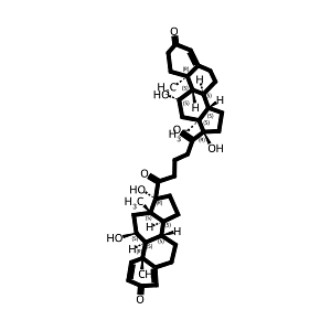 C[C@]12C=CC(=O)C=C1CC[C@@H]1[C@@H]2[C@@H](O)C[C@@]2(C)[C@H]1CC[C@]2(O)C(=O)CCCC(=O)[C@@]1(O)CC[C@H]2[C@@H]3CCC4=CC(=O)CC[C@]4(C)[C@H]3[C@@H](O)C[C@@]21C